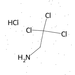 Cl.NCC(Cl)(Cl)Cl